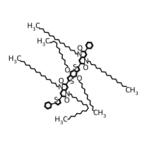 CCCCCCCCCCCCCCCCn1c(=O)c(-c2ccccc2)cc2c1cc(-c1cc3c(OCCCCCCCCCCCC)c4sc(-c5cc6c(cc(-c7ccc(-c8ccccc8)s7)c(=O)n6CCCCCCCCCCCCCCCC)n(CCCCCCCCCCCCCCCC)c5=O)cc4c(OCCCCCCCCCCCC)c3s1)c(=O)n2CCCCCCCCCCCCCCCC